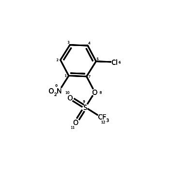 O=[N+]([O-])c1cccc(Cl)c1OS(=O)(=O)C(F)(F)F